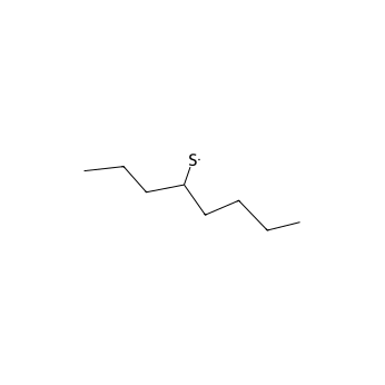 CCCCC([S])CCC